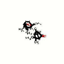 CC12CCC(CC1)C(C)(C)O2.CC1=CC(=O)C2CC1C2(C)C